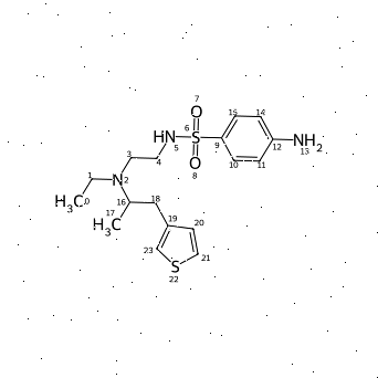 CCN(CCNS(=O)(=O)c1ccc(N)cc1)C(C)Cc1ccsc1